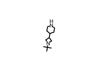 CC(C)(C)N1CC(C2CCNCC2)C1